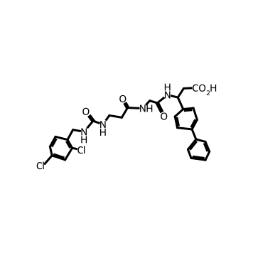 O=C(O)CC(NC(=O)CNC(=O)CCNC(=O)NCc1ccc(Cl)cc1Cl)c1ccc(-c2ccccc2)cc1